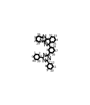 c1ccc(-c2nc(-c3ccccc3)nc(-c3cccc(-c4nc5c(nc6ccccn65)c5ccccc45)c3)n2)cc1